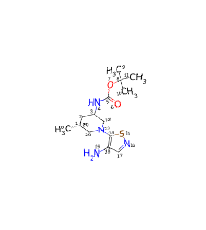 C[C@@H]1CC(NC(=O)OC(C)(C)C)CN(c2sncc2N)C1